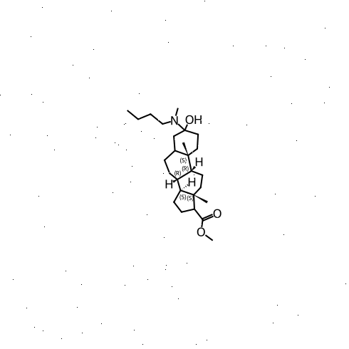 CCCCN(C)C1(O)CC[C@@]2(C)C(CC[C@@H]3[C@H]2CC[C@]2(C)C(C(=O)OC)CC[C@@H]32)C1